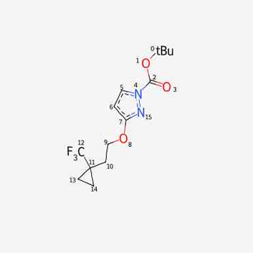 CC(C)(C)OC(=O)n1ccc(OCCC2(C(F)(F)F)CC2)n1